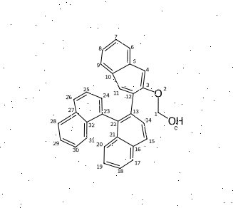 OCOc1cc2ccccc2cc1-c1ccc2ccccc2c1-c1cccc2ccccc12